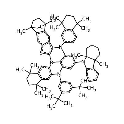 CC(C)(C)c1cc(N2c3cc4c(cc3B3c5sc6cc7c(cc6c5N(c5ccc6c(c5)C(C)(C)CCC6(C)C)c5cc(N6c8ccccc8C8(C)CCCCC68C)cc2c53)C2(C)CCC7(C)CC2)C(C)(C)CCC4(C)C)cc(C(C)(C)C)c1